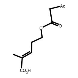 CC(=O)CC(=O)OCC/C=C(\C)C(=O)O